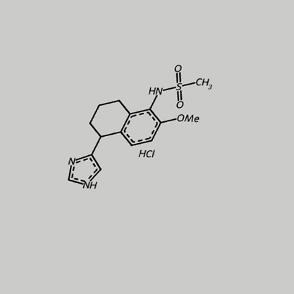 COc1ccc2c(c1NS(C)(=O)=O)CCCC2c1c[nH]cn1.Cl